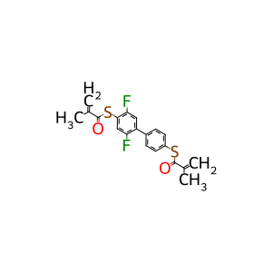 C=C(C)C(=O)Sc1ccc(-c2cc(F)c(SC(=O)C(=C)C)cc2F)cc1